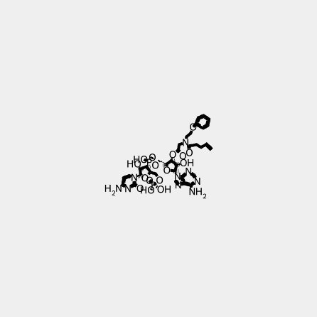 C=CCCC(=O)N(CCOc1ccccc1)CC(=O)O[C@H]1[C@@H](O)[C@H](n2cnc3c(N)ncnc32)O[C@@H]1COP(=O)(O)[C@@H]1C(COP(=O)(O)O)O[C@@H](n2ccc(N)nc2=O)[C@@H]1O